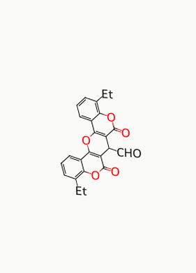 CCc1cccc2c3c(c(=O)oc12)C(C=O)c1c(c2cccc(CC)c2oc1=O)O3